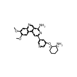 COc1cc2ncc3c(N)nc(-c4cncc(O[C@@H]5CCCC[C@@H]5N)c4)cc3c2cc1OC